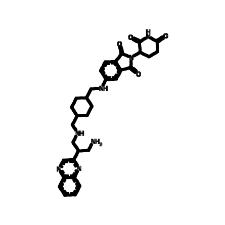 NCC(CNCC1CCC(CNc2ccc3c(c2)C(=O)N(C2CCC(=O)NC2=O)C3=O)CC1)c1cnc2ccccc2n1